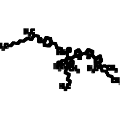 CCCCCCCCC(C)COc1ccc(CCCNC(=O)c2c(-c3ccc(-c4ccc(-c5ccc(C(C)(CC)CCCCC)s5)s4)s3)oc(C(C)(C)CCCCC)c2C=O)cc1